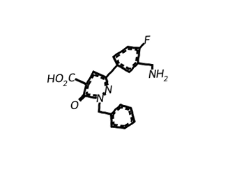 NCc1cc(-c2cc(C(=O)O)c(=O)n(Cc3ccccc3)n2)ccc1F